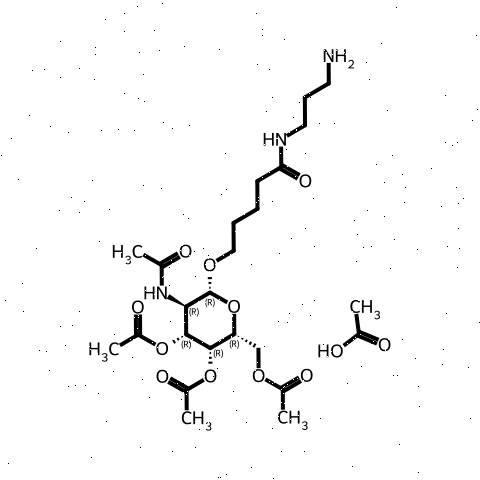 CC(=O)N[C@H]1[C@H](OCCCCC(=O)NCCCN)O[C@H](COC(C)=O)[C@H](OC(C)=O)[C@@H]1OC(C)=O.CC(=O)O